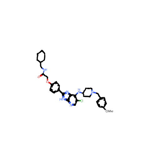 COc1ccc(CN2CCC(Nc3c(Cl)cnc4[nH]c(-c5ccc(OCC(=O)NCC6CCCCC6)cc5)nc34)CC2)cc1